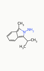 Cc1c2ccccc2c(C(C)C)n1N